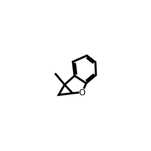 CC12CC1Oc1ccccc12